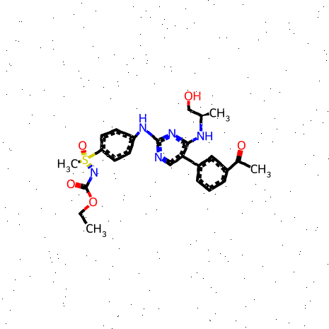 CCOC(=O)N=S(C)(=O)c1ccc(Nc2ncc(-c3cccc(C(C)=O)c3)c(N[C@H](C)CO)n2)cc1